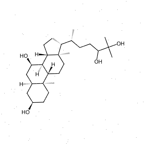 C[C@H](CCC(O)C(C)(C)O)[C@H]1CC[C@H]2[C@@H]3[C@H](O)C[C@@H]4C[C@H](O)CC[C@]4(C)[C@H]3CC[C@]12C